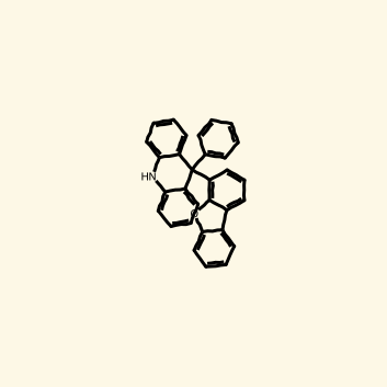 c1ccc(C2(c3cccc4c3oc3ccccc34)c3ccccc3Nc3ccccc32)cc1